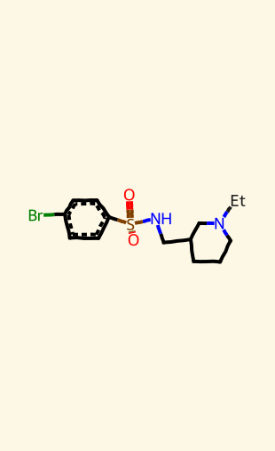 CCN1CCCC(CNS(=O)(=O)c2ccc(Br)cc2)C1